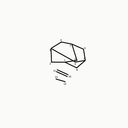 C1C2CC3CC1CC(C2)C3.C=C.CC